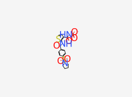 COC(=O)NC(=O)c1ccsc1NC(=O)c1ccc(S(=O)(=O)N2CCCC2)cc1